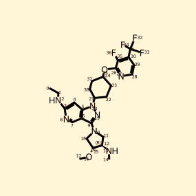 CCNc1cc2c(cn1)c(N1C[C@@H](NC)[C@H](OC)C1)nn2C1CCC(Oc2nccc(C(F)(F)F)c2F)CC1